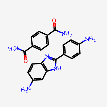 NC(=O)c1ccc(C(N)=O)cc1.Nc1ccc(-c2nc3ccc(N)cc3[nH]2)cc1